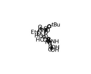 CCC(CC)COC(=O)[C@H](C)NP(=O)(OC[C@H]1O[C@@](C#N)(c2ccc3c(=N)n(COP(=O)(O)O)cnn23)[C@H](O)[C@@H]1O)Oc1ccc(C(C)(C)C)cc1